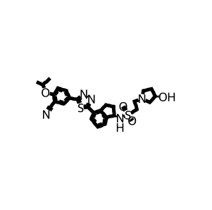 CC(C)Oc1ccc(-c2nnc(-c3cccc4c3CC[C@H]4NS(=O)(=O)CCN3CC[C@@H](O)C3)s2)cc1C#N